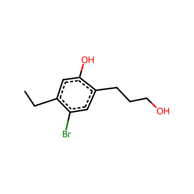 CCc1cc(O)c(CCCO)cc1Br